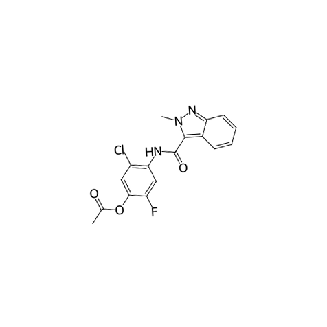 CC(=O)Oc1cc(Cl)c(NC(=O)c2c3ccccc3nn2C)cc1F